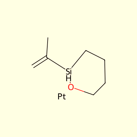 C=C(C)[SiH]1CCCCO1.[Pt]